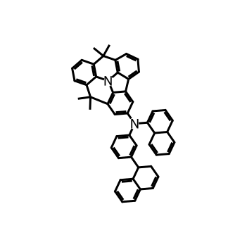 CC1(C)c2cccc3c2-n2c4c1cccc4c1cc(N(C4=CC=CC5C=CC=CC45)c4cccc(C5CC=Cc6ccccc65)c4)cc(c12)C3(C)C